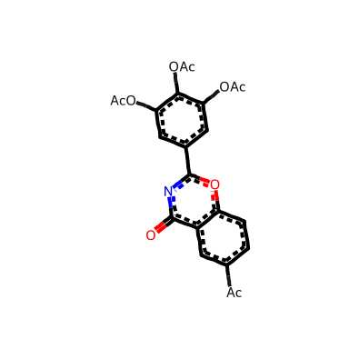 CC(=O)Oc1cc(-c2nc(=O)c3cc(C(C)=O)ccc3o2)cc(OC(C)=O)c1OC(C)=O